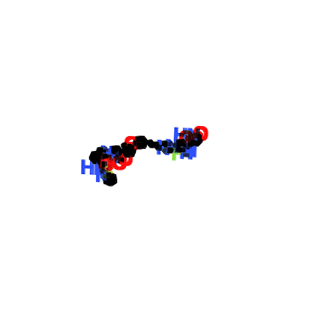 Cc1c(O[C@H]2CC[C@H](CCCCN3CCN(c4ccc5c(C6CCC(=O)NC6=O)nn(C)c5c4F)CC3)CC2)cccc1-c1ccc(N2CCc3cccc(C(=O)Nc4nc5ccccc5s4)c3C2)nc1C(=O)O